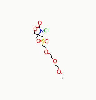 CCOCCOCCOCCS(=O)(=O)CC1(C)COC(=O)N1Cl